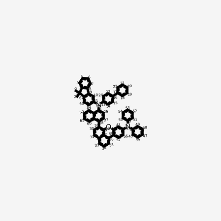 CC1(C)c2ccccc2-c2cc(N(c3ccc(-c4ccccc4)cc3)c3ccc(-c4ccc5cccc6c5c4Oc4cc(N(c5ccccc5)c5ccccc5)ccc4-6)c4ccccc34)ccc21